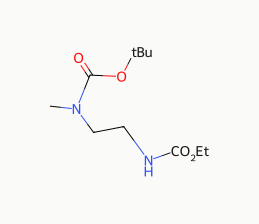 CCOC(=O)NCCN(C)C(=O)OC(C)(C)C